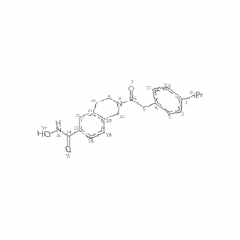 CC(C)c1ccc(CC(=O)N2CCc3cc(C(=O)NO)ccc3C2)cc1